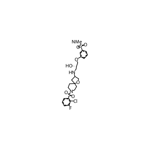 CNS(=O)(=O)c1cccc(OC[C@@H](O)CNC2COC3(CCN(S(=O)(=O)c4cccc(F)c4Cl)CC3)C2)c1